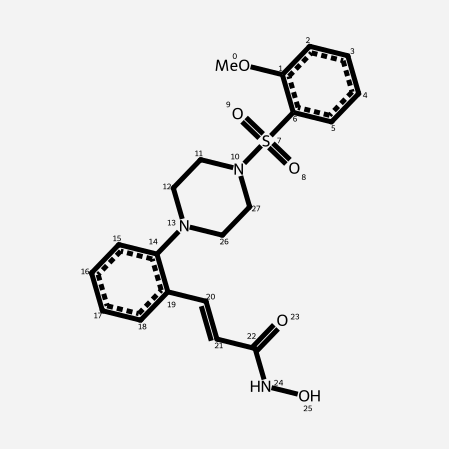 COc1ccccc1S(=O)(=O)N1CCN(c2ccccc2C=CC(=O)NO)CC1